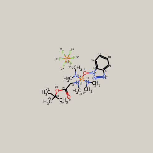 CN(C)[P+](On1nnc2ccccc21)(N(C)C)N(C)CC(=O)OC(C)(C)C.F[P-](F)(F)(F)(F)F